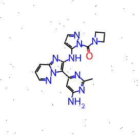 Cc1nc(N)cc(-c2c(Nc3ccnn3C(=O)N3CCC3)nc3cccnn23)n1